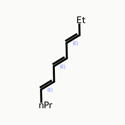 [CH2]C/C=C/C=C/C=C/CCC